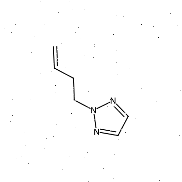 C=CCCn1nccn1